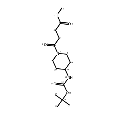 COC(=O)CCC(=O)N1CCC(NC(=O)OC(C)(C)C)CC1